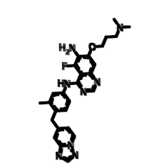 Cc1cc(Nc2ncnc3cc(OCCCN(C)C)c(N)c(F)c23)ccc1Cc1ccn2ncnc2c1